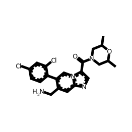 CC1CN(C(=O)c2cnc3cc(CN)c(-c4ccc(Cl)cc4Cl)cn23)CC(C)O1